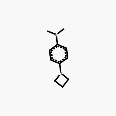 CN(C)c1ccc(N2CCC2)cc1